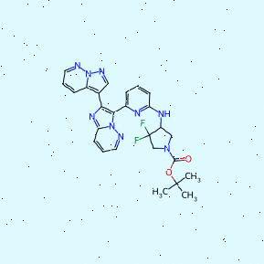 CC(C)(C)OC(=O)N1CC(Nc2cccc(-c3c(-c4cnn5ncccc45)nc4cccnn34)n2)C(F)(F)C1